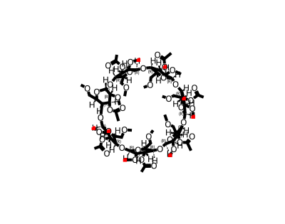 COC[C@H]1O[C@@H]2O[C@H]3[C@H](OC(C)=O)[C@@H](OC)[C@@H](O[C@H]4[C@H](OC(C)=O)[C@@H](OC)[C@@H](O[C@H]5[C@H](OC(C)=O)[C@@H](OC)[C@@H](O[C@H]6[C@H](OC(C)=O)[C@@H](OC)[C@@H](O[C@H]7[C@H](OC(C)=O)[C@@H](OC)[C@@H](O[C@H]8[C@H](OC(C)=O)[C@@H](OC)[C@@H](O[C@H]1[C@H](OC(C)=O)[C@H]2OC)O[C@@H]8COC)O[C@@H]7COC)O[C@@H]6COC)O[C@@H]5COC)O[C@@H]4COC)O[C@@H]3COC